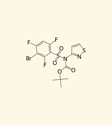 CC(C)(C)OC(=O)N(c1ccsn1)S(=O)(=O)c1c(F)cc(F)c(Br)c1F